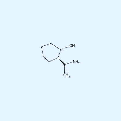 CC(N)[C@H]1CCCC[C@@H]1O